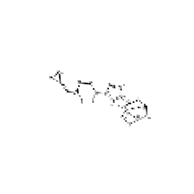 C(=C1CO1)N1CCC(c2nnc(C34CC5CC(CC(C5)C3)C4)o2)CC1